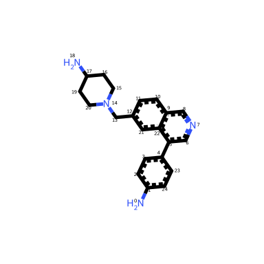 Nc1ccc(-c2cncc3ccc(CN4CCC(N)CC4)cc23)cc1